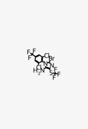 Nc1c(SC(F)(F)F)nc(Br)n1-c1c(Cl)cc(C(F)(F)F)cc1Cl